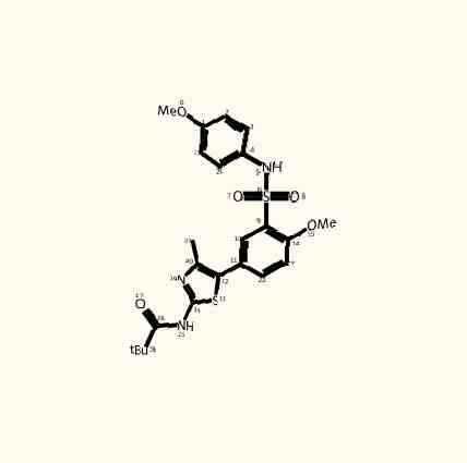 COc1ccc(NS(=O)(=O)c2cc(-c3sc(NC(=O)C(C)(C)C)nc3C)ccc2OC)cc1